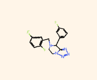 Fc1cccc(C2c3nnnn3CCN2Cc2cc(F)ccc2F)c1